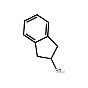 CC(C)(C)C1[CH]c2ccccc2C1